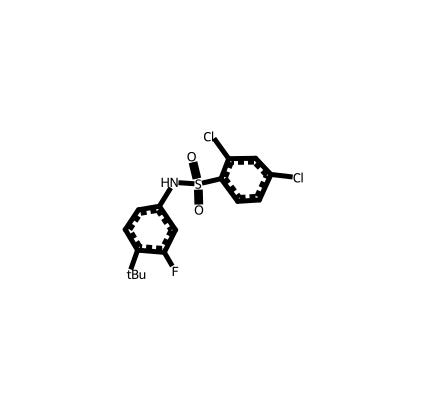 CC(C)(C)c1ccc(NS(=O)(=O)c2ccc(Cl)cc2Cl)cc1F